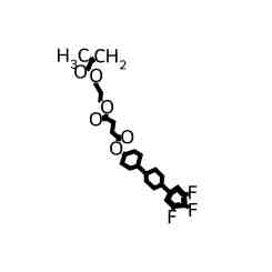 C=C(C)C(=O)OCCCOC(=O)CCC(=O)OC1CCC(C2CCC(c3cc(F)c(F)c(F)c3)CC2)CC1